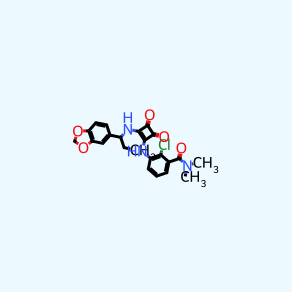 CCC(Nc1c(Nc2cccc(C(=O)N(C)C)c2Cl)c(=O)c1=O)c1ccc2c(c1)OCO2